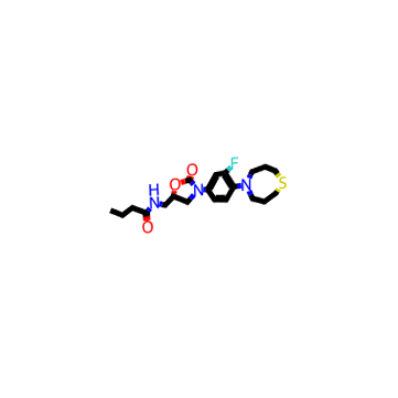 CCCC(=O)NCC1CN(c2ccc(N3CCCSCCC3)c(F)c2)C(=O)O1